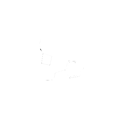 COC(c1ccccc1)[C@H]1C[C@H](OC)C1